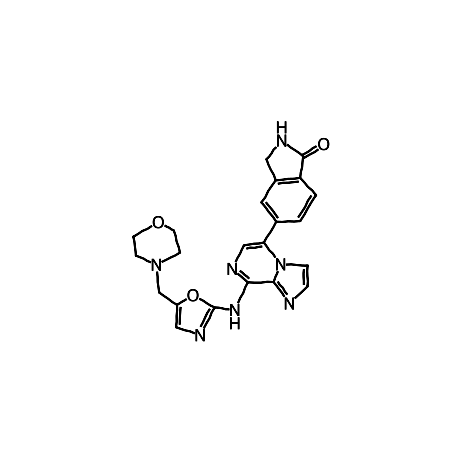 O=C1NCc2cc(-c3cnc(Nc4ncc(CN5CCOCC5)o4)c4nccn34)ccc21